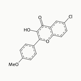 COc1ccc(-c2oc3ccc(Cl)cc3c(=O)c2O)cc1